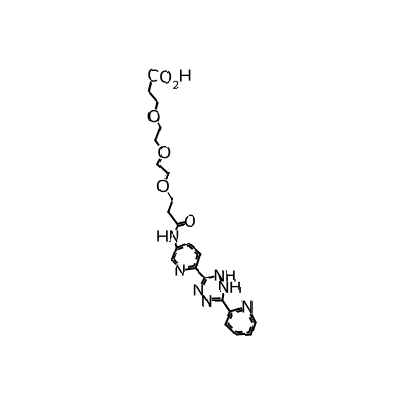 O=C(O)CCOCCOCCOCCC(=O)Nc1ccc(C2=NN=C(c3ccccn3)NN2)nc1